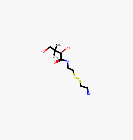 CC(C)(CO)[C@@H](O)C(=O)NCCSSCCN